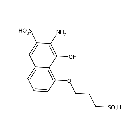 Nc1c(S(=O)(=O)O)cc2cccc(OCCCS(=O)(=O)O)c2c1O